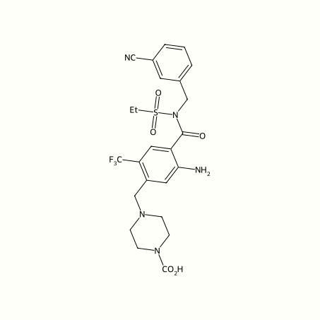 CCS(=O)(=O)N(Cc1cccc(C#N)c1)C(=O)c1cc(C(F)(F)F)c(CN2CCN(C(=O)O)CC2)cc1N